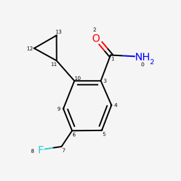 NC(=O)c1ccc(CF)cc1C1CC1